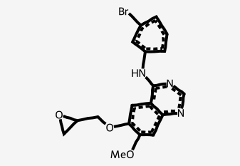 COc1cc2ncnc(Nc3cccc(Br)c3)c2cc1OCC1CO1